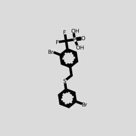 O=P(O)(O)C(F)(F)c1ccc(CSc2cccc(Br)c2)cc1Br